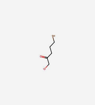 [O]CC(=O)CCCS